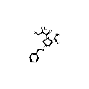 CC(CS)C(=O)N1C[C@@H](OCc2ccccc2)C[C@H]1C(=O)O